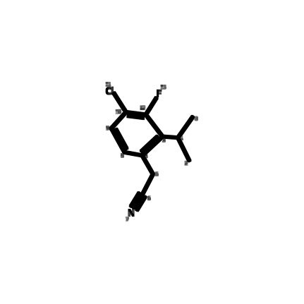 CC(C)c1c(CC#N)ccc(Cl)c1F